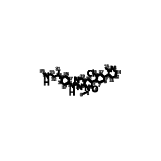 CCn1c(=O)c(-c2ccc(-c3cccnc3C)cc2Cl)cc2cnc(Nc3ccc(C(C)CCNC)cc3)nc21